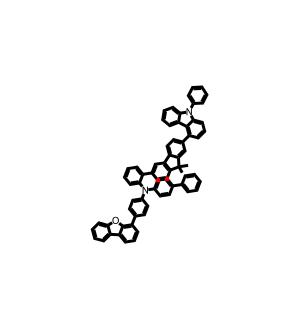 CC1(C)c2ccc(-c3ccccc3N(c3ccc(-c4ccccc4)cc3)c3ccc(-c4cccc5c4oc4ccccc45)cc3)cc2-c2ccc(-c3cccc4c3c3ccccc3n4-c3ccccc3)cc21